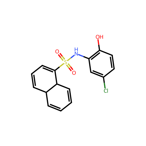 O=S(=O)(Nc1cc(Cl)ccc1O)C1=CC=CC2C=CC=CC12